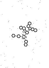 c1ccc(-c2ccc(-c3nc(-c4ccc5ccccc5c4)nc(-c4ccc(-n5c6cc7ccccc7cc6c6c7ccccc7ccc65)c5c4oc4c6ccccc6ccc45)n3)cc2)cc1